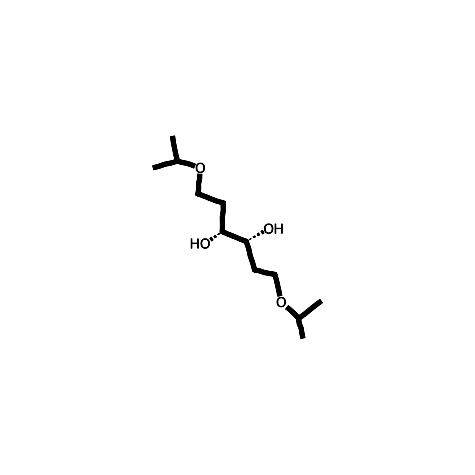 CC(C)OCC[C@@H](O)[C@H](O)CCOC(C)C